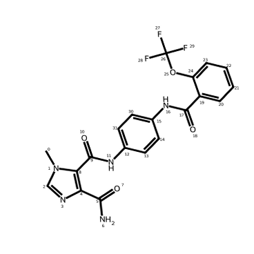 Cn1cnc(C(N)=O)c1C(=O)Nc1ccc(NC(=O)c2ccccc2OC(F)(F)F)cc1